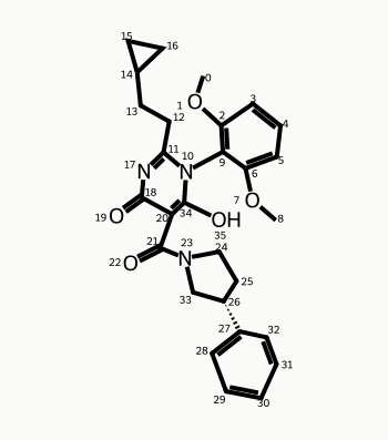 COc1cccc(OC)c1-n1c(CCC2CC2)nc(=O)c(C(=O)N2CC[C@H](c3ccccc3)C2)c1O